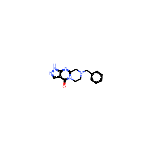 O=c1c2cn[nH]c2nc2n1CCN(Cc1ccccc1)C2